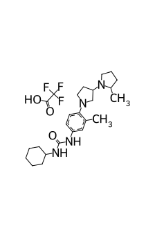 Cc1cc(NC(=O)NC2CCCCC2)ccc1N1CCC(N2CCCC2C)C1.O=C(O)C(F)(F)F